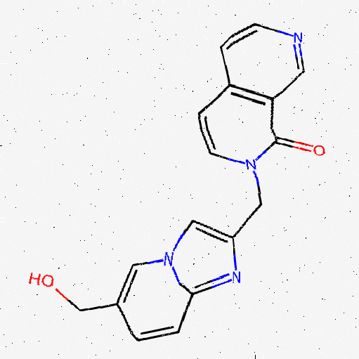 O=c1c2cnccc2ccn1Cc1cn2cc(CO)ccc2n1